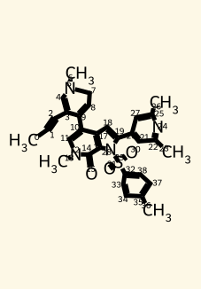 CC#CC1=CN(C)CC=C1c1cn(C)c(=O)c2c1cc(-c1cc(C)nc(C)c1)n2S(=O)(=O)c1ccc(C)cc1